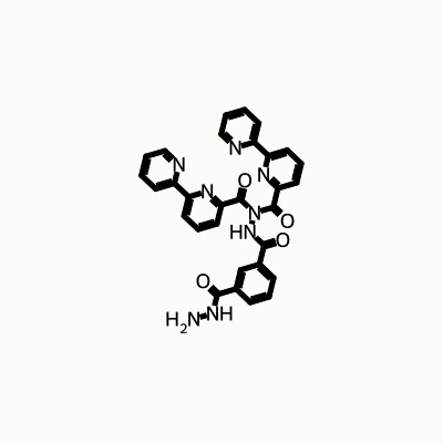 NNC(=O)c1cccc(C(=O)NN(C(=O)c2cccc(-c3ccccn3)n2)C(=O)c2cccc(-c3ccccn3)n2)c1